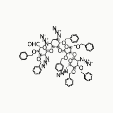 [N-]=[N+]=NC[C@@H]1O[C@H](O[C@@H]2C(OCc3ccccc3)[C@H](O[C@@H]3C(OCc4ccccc4)[C@H](N=[N+]=[N-])CC(N=[N+]=[N-])[C@H]3O[C@H]3OC(C=O)[C@@H](OCc4ccccc4)[C@H](OCc4ccccc4)C3N=[N+]=[N-])O[C@@H]2COCc2ccccc2)C(N=[N+]=[N-])C(OCc2ccccc2)[C@@H]1OCc1ccccc1